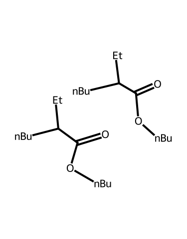 CCCCOC(=O)C(CC)CCCC.CCCCOC(=O)C(CC)CCCC